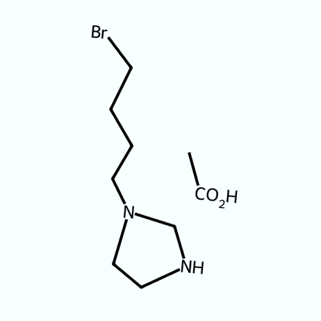 BrCCCCN1CCNC1.CC(=O)O